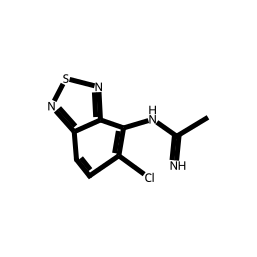 CC(=N)Nc1c(Cl)ccc2nsnc12